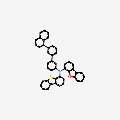 c1cc(-c2cccc(N(c3cccc4c3oc3ccccc34)c3cccc4c3sc3ccccc34)c2)cc(-c2cccc3ccccc23)c1